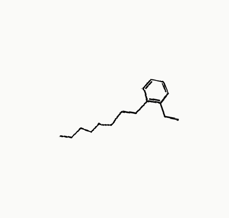 CCCCCCCCc1[c]cccc1CC